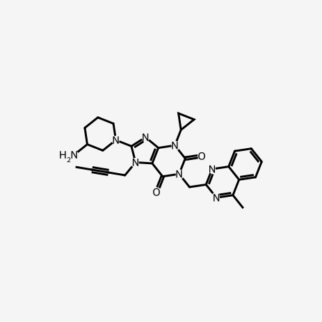 CC#CCn1c(N2CCCC(N)C2)nc2c1c(=O)n(Cc1nc(C)c3ccccc3n1)c(=O)n2C1CC1